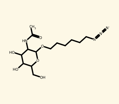 CC(=O)NC1C(OCCCCCCN=[N+]=[N-])OC(CO)C(O)C1O